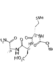 CSCC[C@H](NC(=O)OC(C)(C)C)C(=O)N[C@@H](CC(=O)O)C(=O)N[C@H](C)C(N)=O